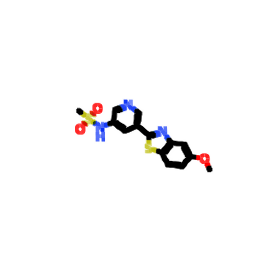 COc1ccc2sc(-c3cncc(NS(C)(=O)=O)c3)nc2c1